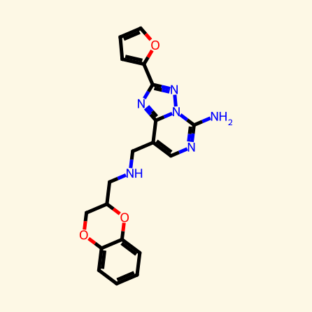 Nc1ncc(CNCC2COc3ccccc3O2)c2nc(-c3ccco3)nn12